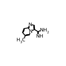 Cc1ccc2ncc(C(=N)N)n2c1